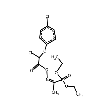 CCOP(=O)(OCC)C(C)=NOC(=O)C(Cl)Oc1ccc(Cl)cc1